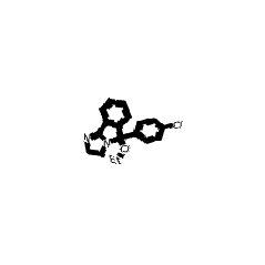 CCOC1(c2ccc(Cl)cc2)c2ccccc2C2=NCCN21